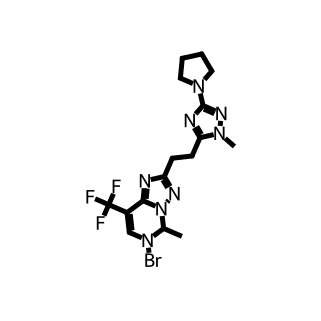 CC1N(Br)C=C(C(F)(F)F)c2nc(CCc3nc(N4CCCC4)nn3C)nn21